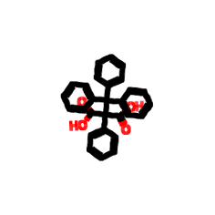 O=C(O)C(C(=O)O)(c1ccccc1)C(c1ccccc1)(c1ccccc1)c1ccccc1